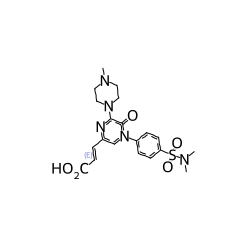 CN1CCN(c2nc(/C=C/C(=O)O)cn(-c3ccc(S(=O)(=O)N(C)C)cc3)c2=O)CC1